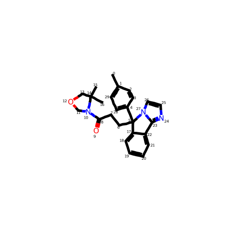 Cc1ccc(C2(CCC(=O)N3COCC3(C)C)c3ccccc3-c3nccn32)cc1